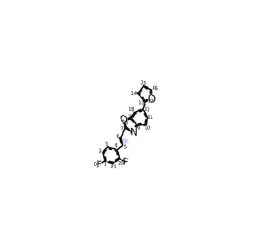 Fc1ccc(/C=C/c2nc3ccc(-c4ccco4)cc3o2)c(F)c1